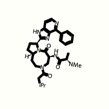 CN[C@@H](C)C(=O)N[C@H]1CN(C(=O)CC(C)C)CC[C@H]2CC[C@@H](c3nc4c(-c5ccccc5)nccc4[nH]3)N2C1=O